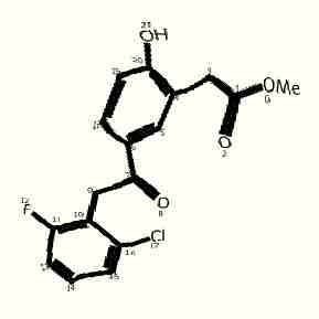 COC(=O)Cc1cc(C(=O)Cc2c(F)cccc2Cl)ccc1O